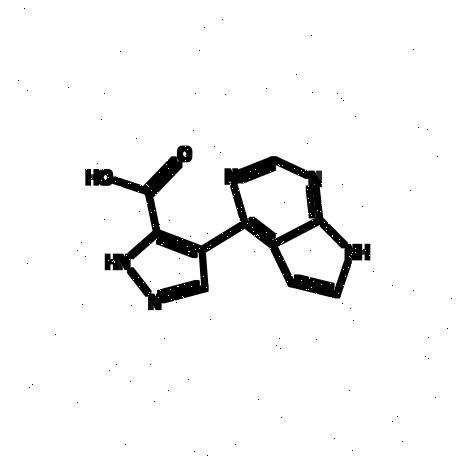 O=C(O)c1[nH]ncc1-c1ncnc2[nH]ccc12